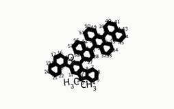 CC1(C)c2ccccc2-c2c1cc1c(oc3ccc4ccccc4c31)c2-c1ccc(-c2c3ccccc3c(-c3cccc4ccccc34)c3ccccc23)c2ccccc12